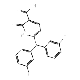 O=C(O)c1ccc(C(c2cccc(F)c2)c2cccc(F)c2)[nH]c1=O